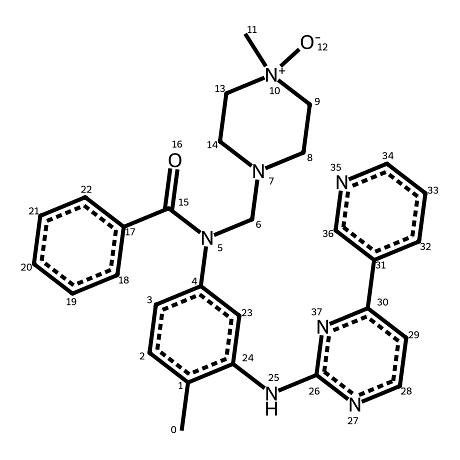 Cc1ccc(N(CN2CC[N+](C)([O-])CC2)C(=O)c2ccccc2)cc1Nc1nccc(-c2cccnc2)n1